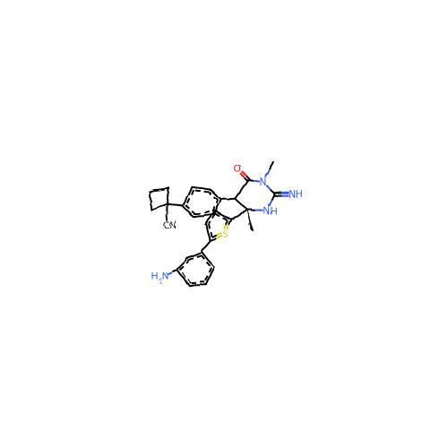 CN1C(=N)N[C@](C)(c2ccc(-c3cccc(N)c3)s2)C(c2ccc(C3(C#N)CCC3)cc2)C1=O